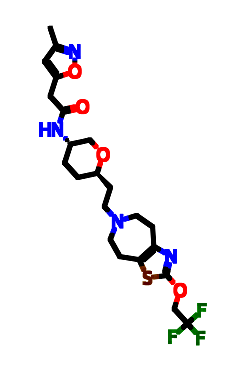 Cc1cc(CC(=O)N[C@H]2CC[C@H](CCN3CCc4nc(OCC(F)(F)F)sc4CC3)OC2)on1